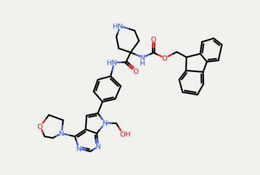 O=C(NC1(C(=O)Nc2ccc(-c3cc4c(N5CCOCC5)ncnc4n3CO)cc2)CCNCC1)OCC1c2ccccc2-c2ccccc21